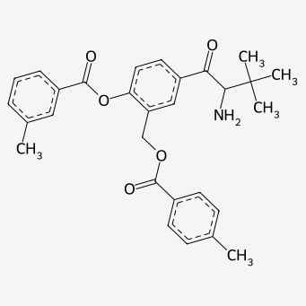 Cc1ccc(C(=O)OCc2cc(C(=O)C(N)C(C)(C)C)ccc2OC(=O)c2cccc(C)c2)cc1